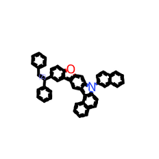 C(=C(\c1ccccc1)c1ccc2oc3cc4c(cc3c2c1)c1c2ccccc2ccc1n4-c1ccc2ccccc2c1)/c1ccccc1